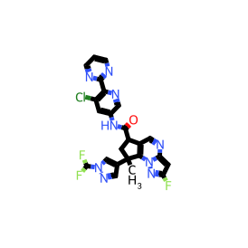 CC1(c2cnn(C(F)F)c2)CC(C(=O)Nc2cnc(-c3ncccn3)c(Cl)c2)c2cnc3cc(F)nn3c21